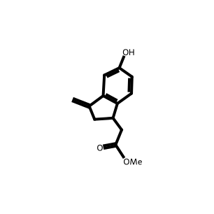 C=C1CC(CC(=O)OC)c2ccc(O)cc21